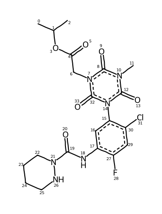 CC(C)OC(=O)Cn1c(=O)n(C)c(=O)n(-c2cc(NC(=O)N3CCCCN3)c(F)cc2Cl)c1=O